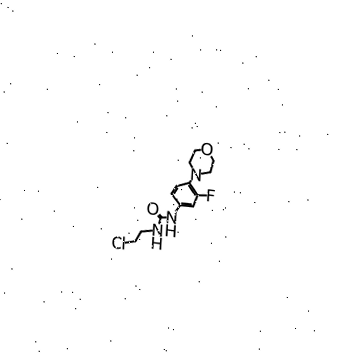 O=C(NCCCl)Nc1ccc(N2CCOCC2)c(F)c1